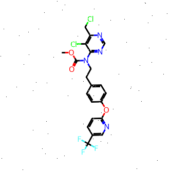 COC(=O)N(CCc1ccc(Oc2ccc(C(F)(F)F)cn2)cc1)c1ncnc(CCl)c1Cl